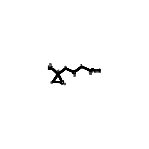 [CH2]CCCCCOCC1(CC)CO1